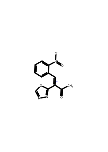 CC(=O)/C(=C/c1ccccc1[N+](=O)[O-])c1nnco1